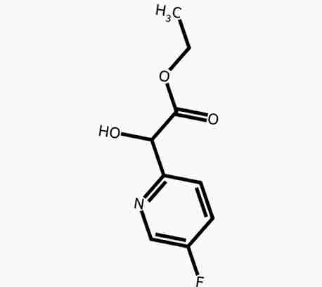 CCOC(=O)C(O)c1ccc(F)cn1